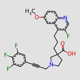 COc1ccc2ncc(F)c(CCCC3(C(=O)O)CCN(CC#Cc4cc(F)c(F)c(F)c4)C3)c2c1